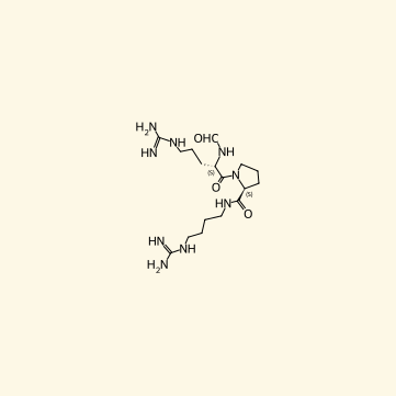 N=C(N)NCCCCNC(=O)[C@@H]1CCCN1C(=O)[C@H](CCCNC(=N)N)NC=O